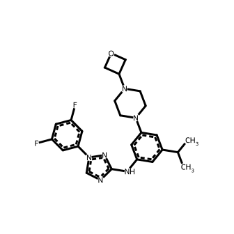 CC(C)c1cc(Nc2ncn(-c3cc(F)cc(F)c3)n2)cc(N2CCN(C3COC3)CC2)c1